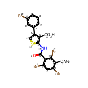 COc1c(Br)cc(Br)c(C(=O)Nc2scc(-c3cccc(Br)c3)c2C(=O)O)c1Br